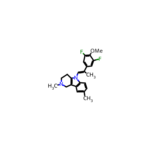 COc1c(F)cc(C(C)=Cn2c3c(c4cc(C)ccc42)CN(C)CC3)cc1F